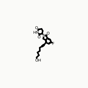 O=C1CCC(N2Cc3c(C#CCCCCCO)cc(F)cc3C2=O)C(=O)N1